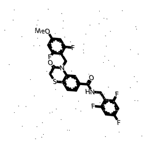 COc1cc(F)c(CN2C(=O)CSc3ccc(C(=O)NCc4c(F)cc(F)cc4F)cc32)c(F)c1